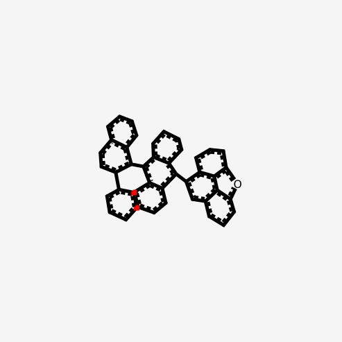 c1ccc(-c2ccc3ccccc3c2-c2c3ccccc3c(-c3cc4cccc5oc6cccc3c6c45)c3ccccc23)cc1